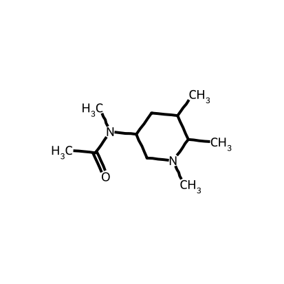 CC(=O)N(C)C1CC(C)C(C)N(C)C1